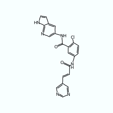 O=C(C=Cc1cncnc1)Nc1ccc(Cl)c(C(=O)Nc2cnc3[nH]ccc3c2)c1